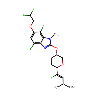 CC(=O)N[C@@H](C)/C=C(\F)[C@@H]1CC[C@@H](Oc2nc3c(F)cc(OCC(F)F)c(F)c3n2C)CO1